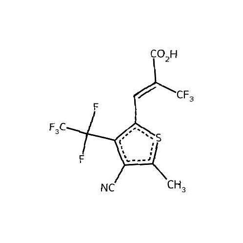 Cc1sc(/C=C(/C(=O)O)C(F)(F)F)c(C(F)(F)C(F)(F)F)c1C#N